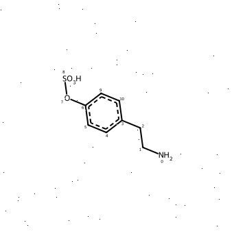 NCCc1ccc(OS(=O)(=O)O)cc1